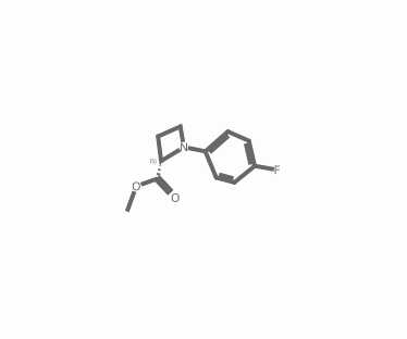 COC(=O)[C@@H]1CCN1c1ccc(F)cc1